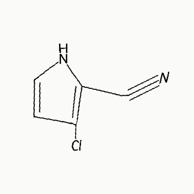 N#Cc1[nH]ccc1Cl